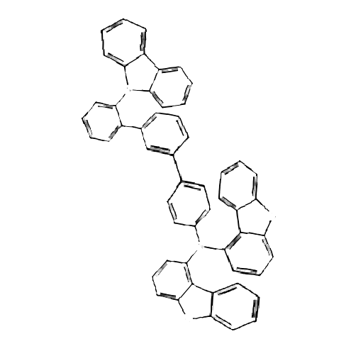 c1cc(-c2ccc(N(c3cccc4oc5ccccc5c34)c3cccc4sc5ccccc5c34)cc2)cc(-c2ccccc2-n2c3ccccc3c3ccccc32)c1